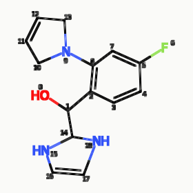 OC(c1ccc(F)cc1N1CC=CC1)C1NC=CN1